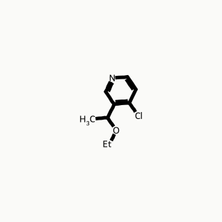 CCOC(C)c1cnccc1Cl